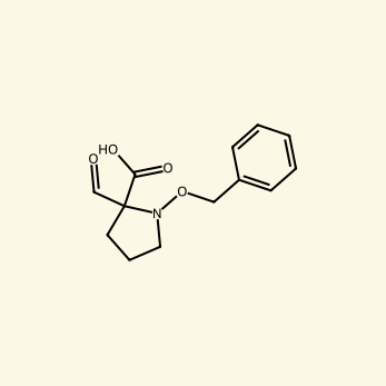 O=CC1(C(=O)O)CCCN1OCc1ccccc1